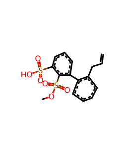 C=CCc1ccccc1-c1cccc(S(=O)(=O)O)c1S(=O)(=O)OC